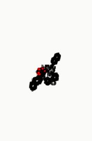 c1ccc(C2=NC(c3cccc4oc5ccc(-n6c7ccccc7c7cc8ccccc8cc76)cc5c34)=NC(c3ccc4ccccc4c3)N2)cc1